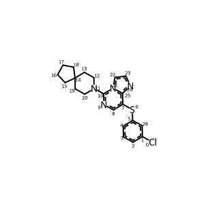 Clc1cccc(Sc2cnc(N3CCC4(CCCC4)CC3)n3ccnc23)c1